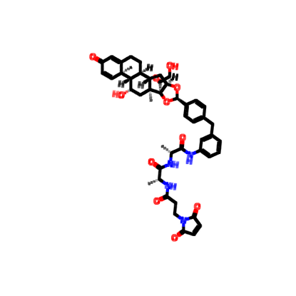 C[C@@H](NC(=O)CCN1C(=O)C=CC1=O)C(=O)N[C@H](C)C(=O)Nc1cccc(Cc2ccc([C@@H]3O[C@@H]4C[C@H]5[C@@H]6CCC7=CC(=O)C=C[C@]7(C)[C@H]6[C@@H](O)C[C@]5(C)[C@]4(C(=O)CO)O3)cc2)c1